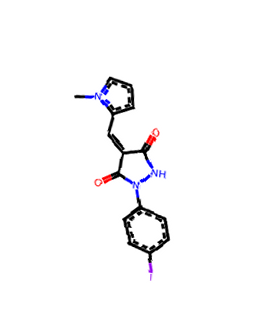 Cn1cccc1C=C1C(=O)NN(c2ccc(I)cc2)C1=O